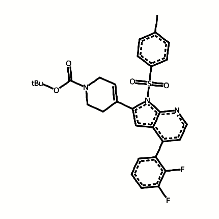 Cc1ccc(S(=O)(=O)n2c(C3=CCN(C(=O)OC(C)(C)C)CC3)cc3c(-c4cccc(F)c4F)ccnc32)cc1